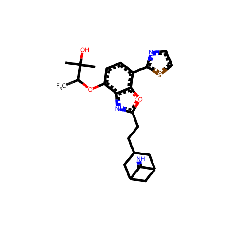 CC(C)(O)C(Oc1ccc(-c2nccs2)c2oc(CCC3CC4CC(C3)C4=N)nc12)C(F)(F)F